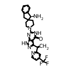 C=C(c1cc(C(F)(F)F)ccn1)c1n[nH]c2nc(N3CCC4(CC3)Cc3ccccc3[C@H]4N)[nH]c(=O)c12